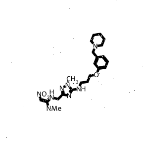 CN/C(=C/[N+](=O)[O-])NCc1nc(NCCCOc2cccc(CN3CCCCC3)c2)n(C)n1